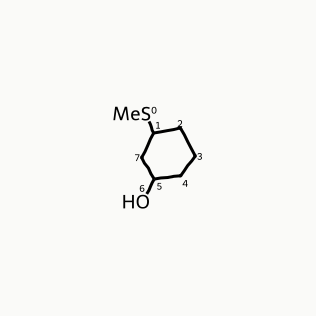 CSC1CCCC(O)C1